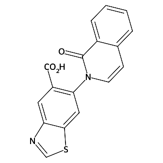 O=C(O)c1cc2ncsc2cc1-n1ccc2ccccc2c1=O